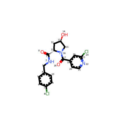 O=C(NCc1ccc(Cl)cc1)[C@@H]1C[C@@H](O)CN1C(=O)c1ccnc(Cl)c1